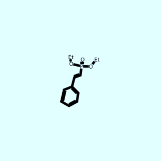 CCOP(=O)(/C=C/c1ccccc1)OCC